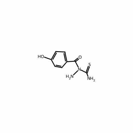 NC(=S)N(N)C(=O)c1ccc(O)cc1